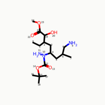 CCC(CC(CC(C)CN)N(N)C(=O)OC(C)(C)C)C(O)C(=O)OC